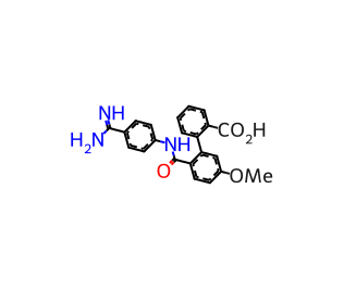 COc1ccc(C(=O)Nc2ccc(C(=N)N)cc2)c(-c2ccccc2C(=O)O)c1